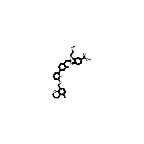 COCCn1c(Cc2ccc(-c3cccc(OCc4ccc(C)c5c4OCCC5)n3)cc2F)nc2ccc(C(=O)O)cc21